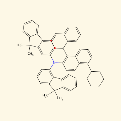 CC1(C)c2ccccc2-c2ccc(N(c3cccc4c3-c3ccccc3C4(C)C)c3ccc4c(C5CCCCC5)cccc4c3-c3cccc4ccccc34)cc21